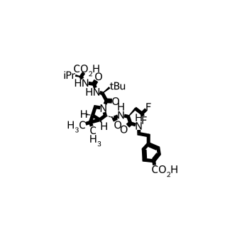 CC(C)[C@H](NC(=O)N[C@H](C(=O)N1C[C@H]2[C@@H]([C@H]1C(=O)N[C@@H](CC(F)F)C(=O)NCCc1ccc(C(=O)O)cc1)C2(C)C)C(C)(C)C)C(=O)O